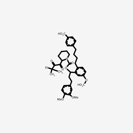 CCC(C)(C)C(=O)C(=O)C1CCCCN1C(=O)OC(CCc1ccc(OC)c(OC)c1)c1cc(OC(=O)O)ccc1CCCCc1ccc(C(=O)O)cc1